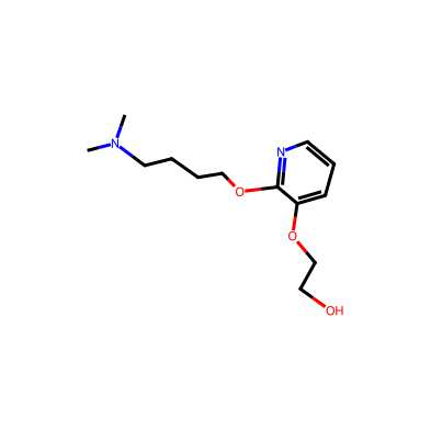 CN(C)CCCCOc1ncccc1OCCO